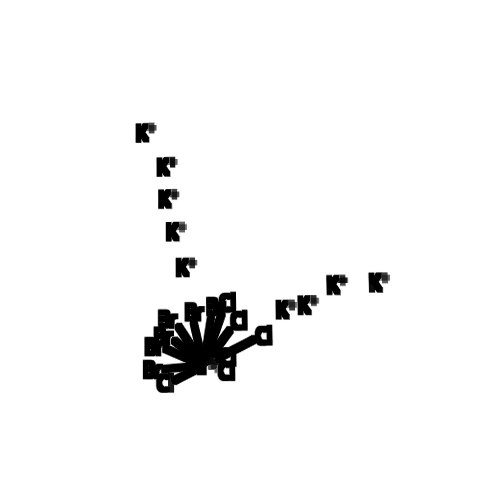 [Cl][Ir-9]([Cl])([Cl])([Cl])([Cl])([Cl])([Br])([Br])([Br])([Br])([Br])[Br].[K+].[K+].[K+].[K+].[K+].[K+].[K+].[K+].[K+]